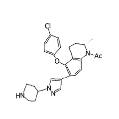 CC(=O)N1c2ccc(-c3cnn(C4CCNCC4)c3)c(Oc3ccc(Cl)cc3)c2CC[C@@H]1C